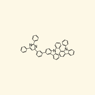 c1ccc(-c2cc(-c3cccc(-c4ccc5c(c4)c4ccccc4n5-c4ccccc4-c4cccc5c6ccccc6n(-c6ccccc6)c45)c3)nc(-c3ccccc3)n2)cc1